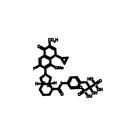 COc1c(N2C[C@H]3CCCN(C(=O)Sc4ccc(CC(O)(P(=O)(O)O)P(=O)(O)O)cc4)[C@H]3C2)c(F)cc2c(=O)c(C(=O)O)cn(C3CC3)c12